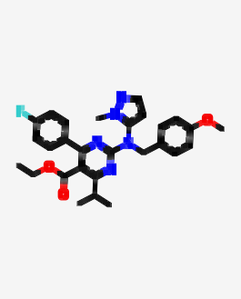 CCOC(=O)c1c(-c2ccc(F)cc2)nc(N(Cc2ccc(OC)cc2)c2ccnn2C)nc1C(C)C